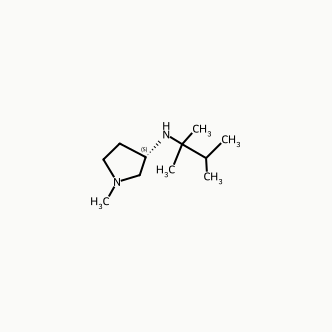 CC(C)C(C)(C)N[C@H]1CCN(C)C1